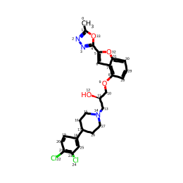 Cc1nnc(-c2cc3c(OC[C@H](O)CN4CCC(c5ccc(Cl)c(Cl)c5)CC4)cccc3o2)o1